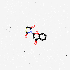 O=C1CSC(=O)N1c1cc(=O)c2ccccc2o1